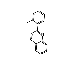 Cc1ccccc1-c1ccc2ccccc2n1